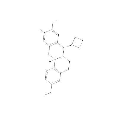 COc1cc2c(cc1O)C[C@H]1c3ccc(CO)cc3CCN1[C@@H]2C1CCC1